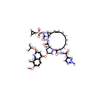 COc1ccc2c(O[C@@H]3C[C@H]4C(=O)N[C@]5(C(=O)NS(=O)(=O)C6CC6)CC5/C=C\CCCCC[C@H](NC(=O)c5cnn(C)n5)C(=O)N4C3)cc(OC(C)C)nc2c1C